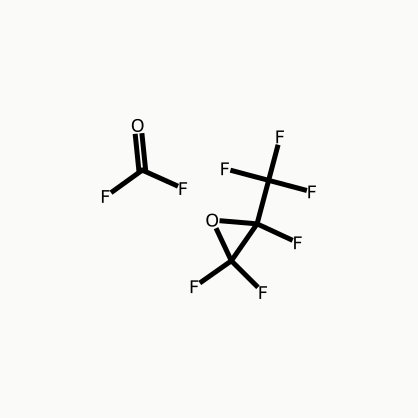 FC(F)(F)C1(F)OC1(F)F.O=C(F)F